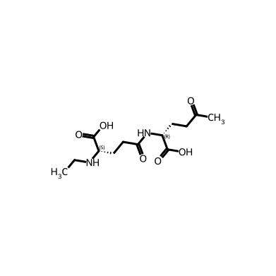 CCN[C@@H](CCC(=O)N[C@H](CCC(C)=O)C(=O)O)C(=O)O